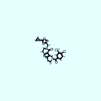 C[C@@H]1Cc2nn3c(c2CN1C(=O)c1ccc(Cl)c(Cl)c1)C(=O)N(Cc1nc(C2CC2)no1)CC3